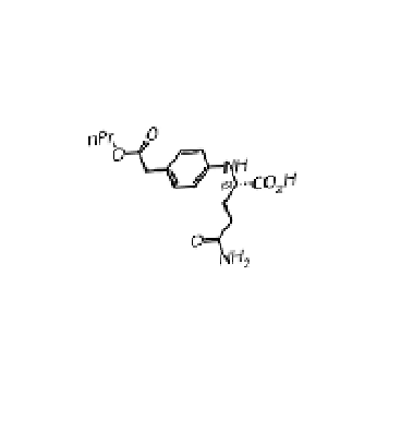 CCCOC(=O)Cc1ccc(N[C@@H](CCC(N)=O)C(=O)O)cc1